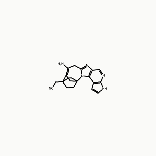 N#CCC12CCC3(CC1)CC2=C(N)Cc1nc2cnc4[nH]ccc4c2n13